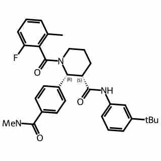 CNC(=O)c1ccc([C@H]2[C@@H](C(=O)Nc3cccc(C(C)(C)C)c3)CCCN2C(=O)c2c(C)cccc2F)cc1